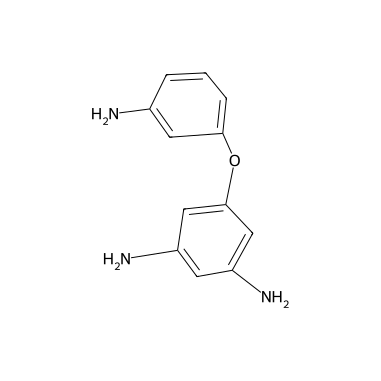 Nc1cccc(Oc2cc(N)cc(N)c2)c1